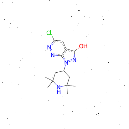 CC1(C)CC(n2nc(O)c3cc(Cl)nnc32)CC(C)(C)N1